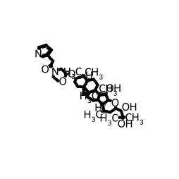 C[C@@H]1CC(C(O)C(C)(C)O)OC2[C@H]1C1(C)CCC34CC35CCC(O[C@H]3CN(C(=O)Cc6cccnc6)CCO3)C(C)(C)[C@@H]5CCC4[C@]1(C)[C@H]2O